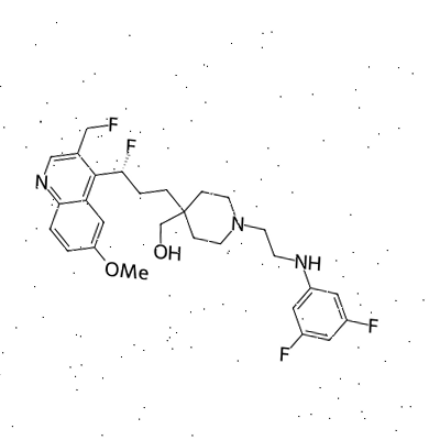 COc1ccc2ncc(CF)c([C@H](F)CCC3(CO)CCN(CCNc4cc(F)cc(F)c4)CC3)c2c1